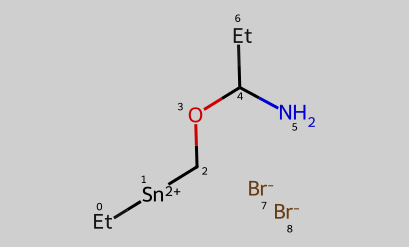 C[CH2][Sn+2][CH2]OC(N)CC.[Br-].[Br-]